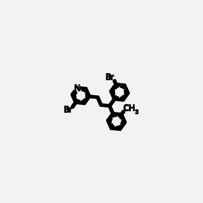 Cc1ccccc1C(CCc1cncc(Br)c1)c1cccc(Br)c1